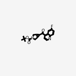 CC(C)(C)OC(=O)N1CC2C(C1)C2C(=O)c1ccnc2ccc(F)cc12